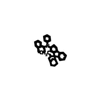 CC1CC2CCCC(C2)C12c1ccccc1-c1ccc(N(c3ccccc3)c3cccc4ccccc34)cc12